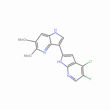 COc1cc2[nH]cc(-c3cc4c(Cl)c(F)cnc4[nH]3)c2nc1OC